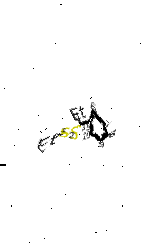 CCSSC(CC)c1ccccc1